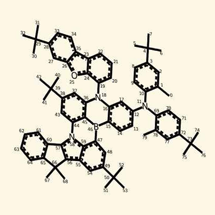 Cc1cc(C(C)(C)C)ccc1N(c1ccc2c(c1)N(c1cccc3c1oc1cc(C(C)(C)C)ccc13)c1cc(C(C)(C)C)cc3c1B2c1cc(C(C)(C)C)cc2c4c(n-3c12)-c1ccccc1C4(C)C)c1ccc(C(C)(C)C)cc1C